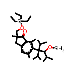 CC[Si](CC)(CC)OCC1(C)Cc2cc(C)c(C(C(C)C)(C(C)C)C(O[SiH3])C(C)C)c(C)c2C1=O